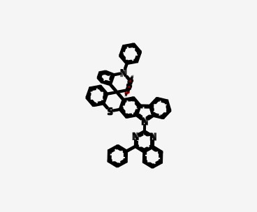 c1ccc(-c2nc(-n3c4ccccc4c4cc5c(cc43)Sc3ccccc3C53c4ccccc4N(c4ccccc4)c4ccccc43)nc3ccccc23)cc1